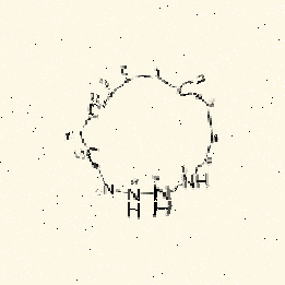 C1CCCCCNNN[N]CCCC1